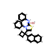 Br.c1ccc(/N=c2/scc(C3(c4ccc5ccccc5c4)CCC3)n2-c2ccccc2)cc1